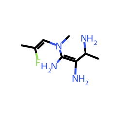 C/C(F)=C/N(C)/C(N)=C(/N)C(C)N